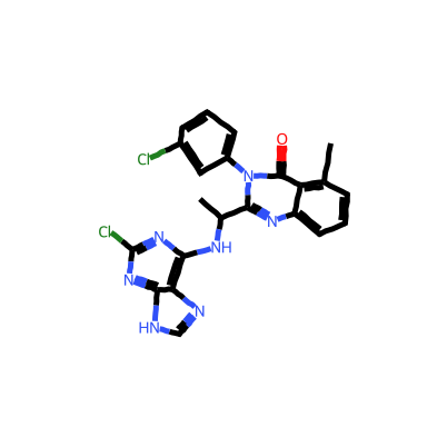 Cc1cccc2nc(C(C)Nc3nc(Cl)nc4[nH]cnc34)n(-c3cccc(Cl)c3)c(=O)c12